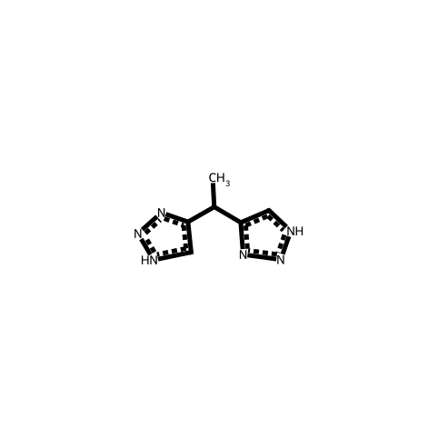 CC(c1c[nH]nn1)c1c[nH]nn1